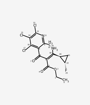 CCOC(=O)C(C(=O)c1c(C)nc(Cl)c(Cl)c1Cl)=C(N)[C@H]1C[C@@H]1F